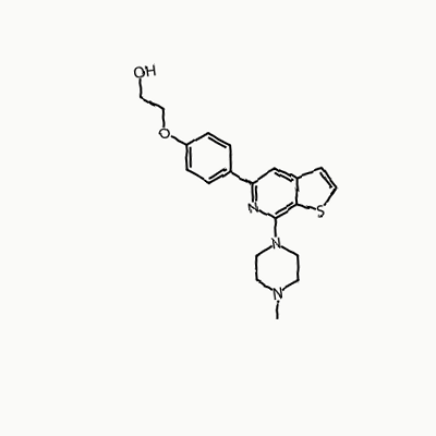 CN1CCN(c2nc(-c3ccc(OCCO)cc3)cc3ccsc23)CC1